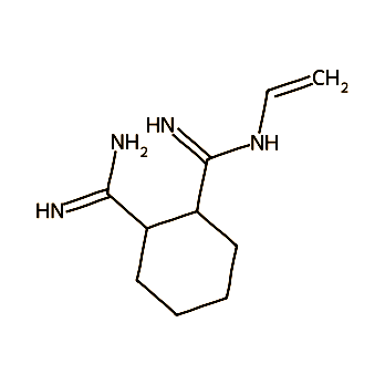 C=CNC(=N)C1CCCCC1C(=N)N